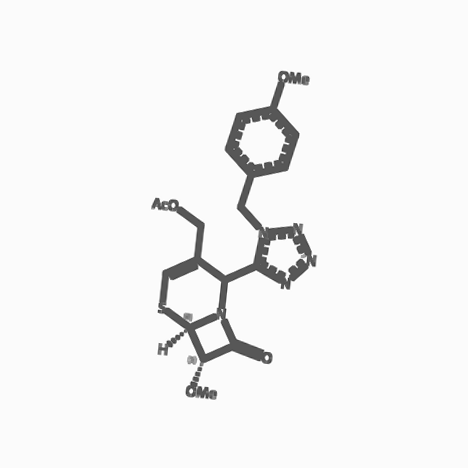 COc1ccc(Cn2nnnc2C2C(COC(C)=O)=CS[C@@H]3[C@@H](OC)C(=O)N23)cc1